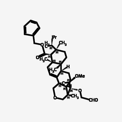 CO[C@@H]1C[C@@]23COC[C@](C)([C@@H]2CC[C@H]2C3=CC[C@@]3(C)[C@H](C(=O)OCc4ccccc4)[C@@](C)([C@H](C)C(C)C)CC[C@]23C)[C@H]1OCC=O